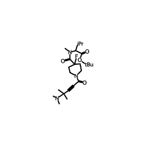 CC(C)C(C(=O)OC(C)(C)C)N(C)C(=O)C1(F)CCN(C(=O)C#CC(C)(C)N(C)C)CC1